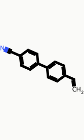 C=Cc1ccc(-c2ccc(C#N)cc2)cc1